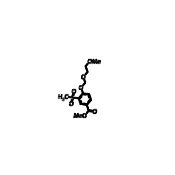 COCCOCOc1ccc(C(=O)OC)cc1S(C)(=O)=O